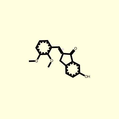 COc1cccc(/C=C2\Cc3ccc(O)cc3C2=O)c1OC